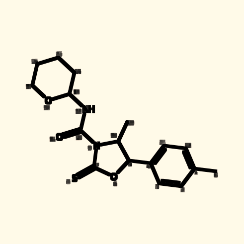 Cc1ccc(C2OC(=S)N(C(=O)NC3CCCCO3)C2C)cc1